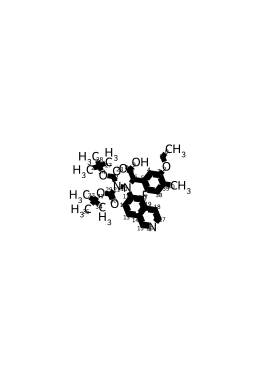 CCOc1cc(C(C(=O)O)N(c2ccc3cnccc3c2)N(C(=O)OC(C)(C)C)C(=O)OC(C)(C)C)c(F)cc1C